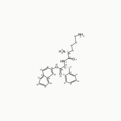 NCCCC[C@@H](N)C(=O)N[C@H](Cc1ccccc1)C(=O)Oc1ccc2ccccc2c1